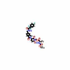 CC(C)[C@H](NC(=O)OC(C)(C)C)C(=O)OCN1C(=O)CCC(N2Cc3cc(CNC(=O)C(F)(F)c4ccc(F)cc4)ccc3C2=O)C1=O